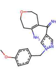 COc1ccc(Cn2cc(C(=N)C3=C(N)CCOCC3)cn2)cc1